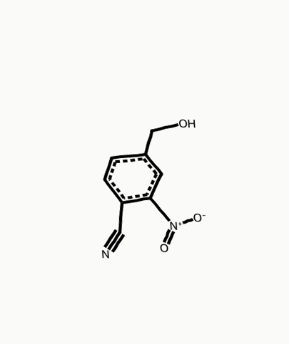 N#Cc1ccc(CO)cc1[N+](=O)[O-]